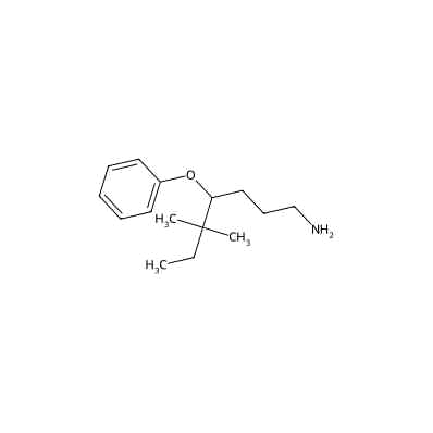 CCC(C)(C)C(CCCN)Oc1ccccc1